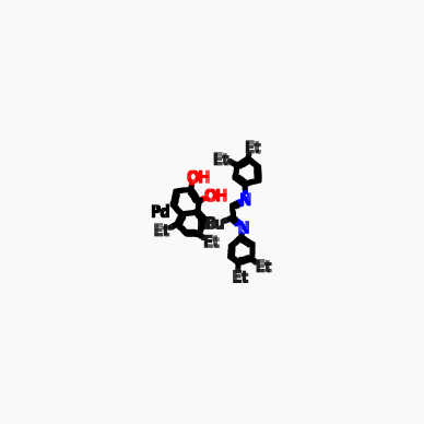 CCCCC(C=Nc1ccc(CC)c(CC)c1)=Nc1ccc(CC)c(CC)c1.CCc1cc(CC)c2ccc(O)c(O)c2c1.[Pd]